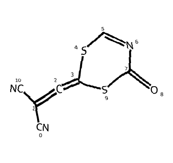 N#CC(=C=C1SC=NC(=O)S1)C#N